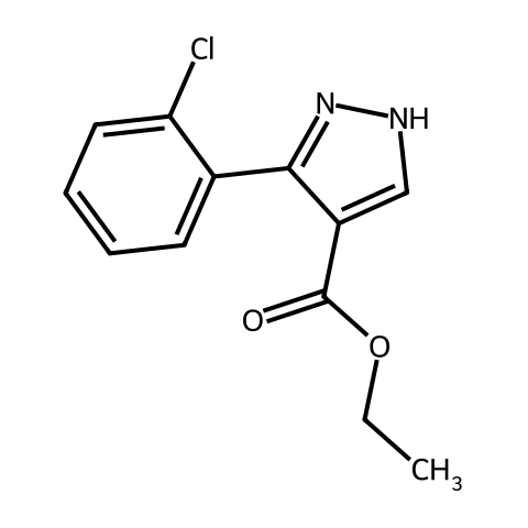 CCOC(=O)c1c[nH]nc1-c1ccccc1Cl